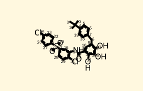 CC(C)(C)c1ccc(Cc2cc(C(=O)Nc3cc(S(=O)(=O)c4ccc(Cl)cc4)ccc3Cl)c(O)c(O)c2O)cc1